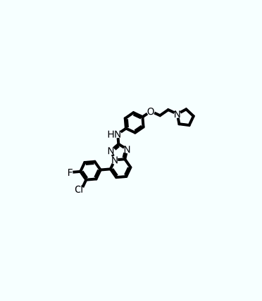 Fc1ccc(-c2cccc3nc(Nc4ccc(OCCN5CCCC5)cc4)nn23)cc1Cl